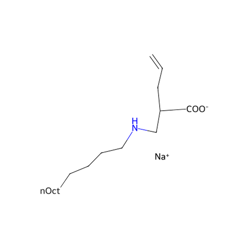 C=CCC(CNCCCCCCCCCCCC)C(=O)[O-].[Na+]